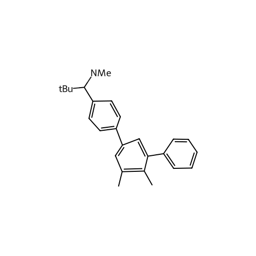 CNC(c1ccc(-c2cc(C)c(C)c(-c3ccccc3)c2)cc1)C(C)(C)C